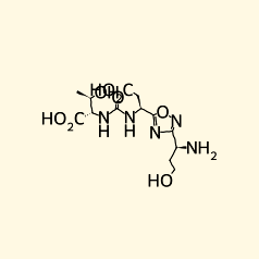 C[C@@H](O)[C@H](NC(=O)N[C@@H](CC(=O)O)c1nc([C@@H](N)CCO)no1)C(=O)O